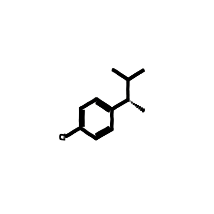 CC(C)[C@H](C)c1ccc(Cl)cc1